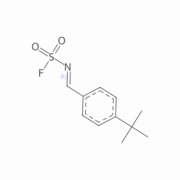 CC(C)(C)c1ccc(/C=N/S(=O)(=O)F)cc1